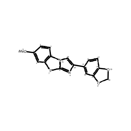 COc1ccc2c(c1)sc1nc(-c3ccc4c(c3)OCO4)cn12